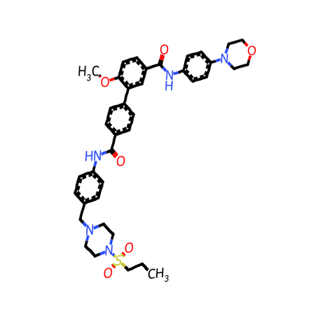 CCCS(=O)(=O)N1CCN(Cc2ccc(NC(=O)c3ccc(-c4cc(C(=O)Nc5ccc(N6CCOCC6)cc5)ccc4OC)cc3)cc2)CC1